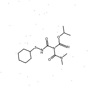 CC(C)OC(=N)N(C(=O)NSC1CCCCC1)C(=O)N(C)C